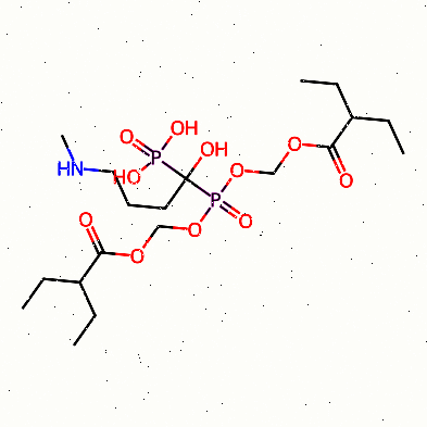 CCC(CC)C(=O)OCOP(=O)(OCOC(=O)C(CC)CC)C(O)(CCCNC)P(=O)(O)O